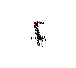 C/C=C/CON1C(C)(C)CC(c2ccc(-c3ccc(C4CCC(OCCCCCC)CC4)cc3)cc2)CC1(C)C